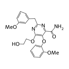 COc1cccc(Cc2nc(OCCO)c(Oc3ccccc3OC)c(C(N)=O)n2)c1